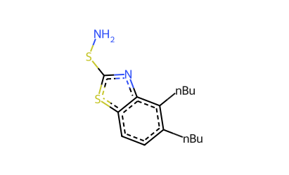 CCCCc1ccc2sc(SN)nc2c1CCCC